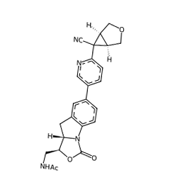 CC(=O)NC[C@@H]1OC(=O)N2c3ccc(-c4ccc(C5(C#N)[C@@H]6COC[C@@H]65)nc4)cc3C[C@@H]12